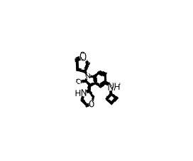 O=C1/C(=C2/COCCN2)c2cc(NC3CCC3)ccc2N1C1CCOC1